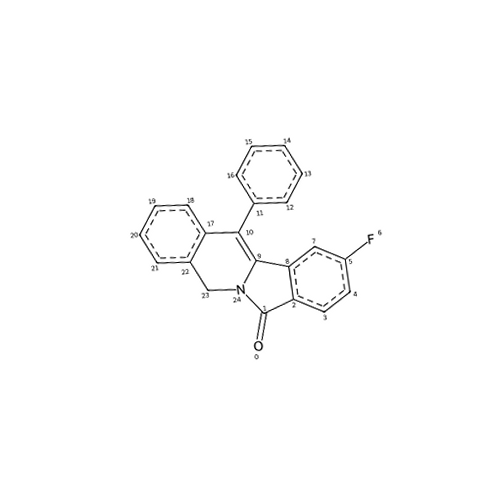 O=C1c2ccc(F)cc2C2=C(c3ccccc3)c3ccccc3CN12